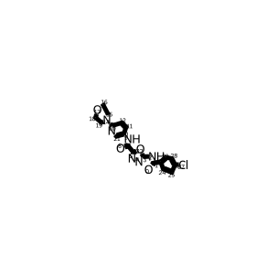 O=C(Nc1nnc(C(=O)Nc2ccc(N3CCOCC3)nc2)o1)c1ccc(Cl)cc1